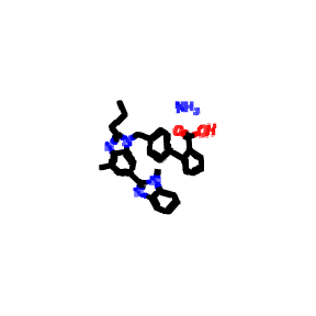 CCCc1nc2c(C)cc(-c3nc4ccccc4n3C)cc2n1Cc1ccc(-c2ccccc2C(=O)O)cc1.N